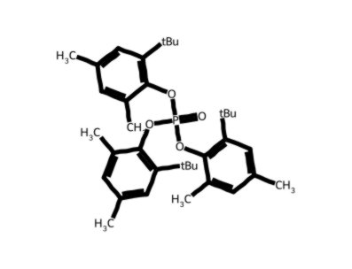 Cc1cc(C)c(OP(=O)(Oc2c(C)cc(C)cc2C(C)(C)C)Oc2c(C)cc(C)cc2C(C)(C)C)c(C(C)(C)C)c1